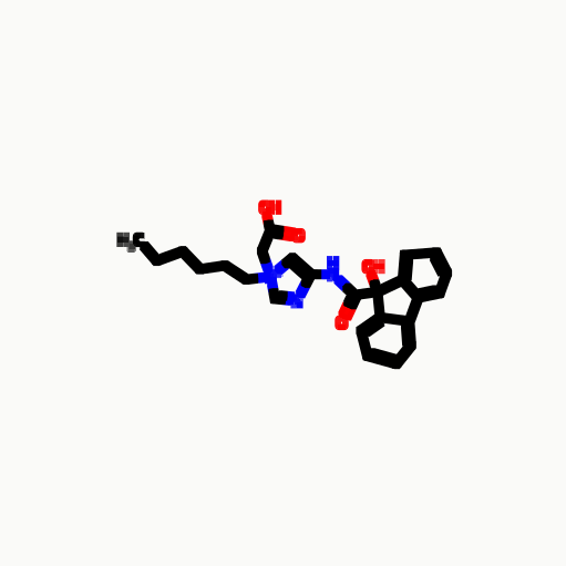 CCCCCC[N+]1(CC(=O)O)C=NC(NC(=O)C2(O)c3ccccc3-c3ccccc32)=C1